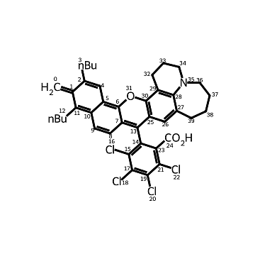 C=c1c(CCCC)cc2c3c(ccc2c1CCCC)=C(c1c(Cl)c(Cl)c(Cl)c(Cl)c1C(=O)O)c1cc2c4c(c1O3)CCCN4CCCC2